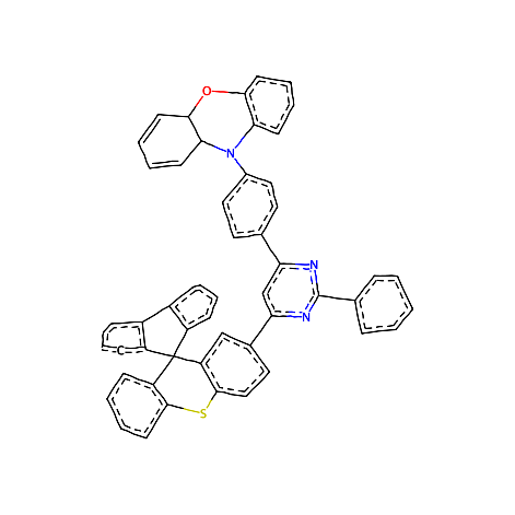 C1=CC2Oc3ccccc3N(c3ccc(-c4cc(-c5ccc6c(c5)C5(c7ccccc7S6)c6ccccc6-c6ccccc65)nc(-c5ccccc5)n4)cc3)C2C=C1